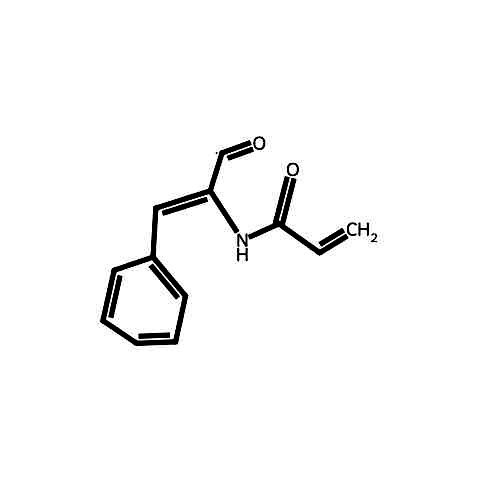 C=CC(=O)NC([C]=O)=Cc1ccccc1